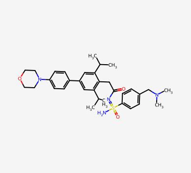 CC(C)c1cc(-c2ccc(N3CCOCC3)cc2)cc(C(C)C)c1CC(=O)N=S(N)(=O)c1ccc(CN(C)C)cc1